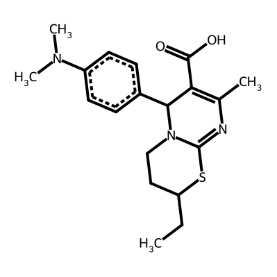 CCC1CCN2C(=NC(C)=C(C(=O)O)C2c2ccc(N(C)C)cc2)S1